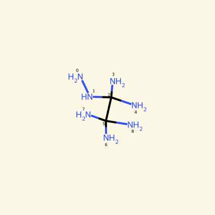 NNC(N)(N)C(N)(N)N